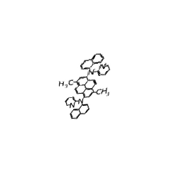 CC1=C2C=Cc3c(N(c4ccccn4)c4cccc5ccccc45)cc(C)c4c3C2C(C=C4)C(N(c2ccccn2)c2cccc3ccccc23)=C1